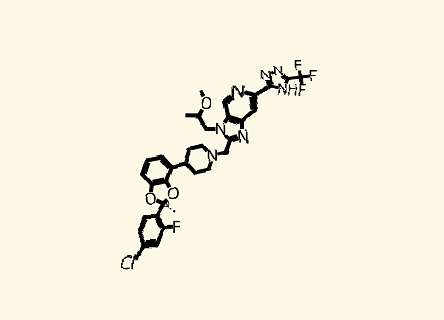 COC(C)Cn1c(CN2CCC(c3cccc4c3O[C@@](C)(c3ccc(Cl)cc3F)O4)CC2)nc2cc(-c3nnc(C(F)(F)F)[nH]3)ncc21